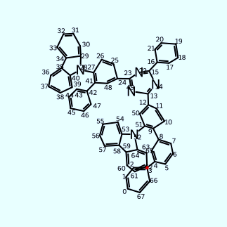 c1ccc(-c2cccc(-c3ccc(-c4nc(-c5ccccc5)nc(-c5ccc(-n6c7ccccc7c7ccccc76)c(-c6ccccc6)c5)n4)cc3-n3c4ccccc4c4ccccc43)c2)cc1